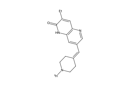 [2H]N1CCC(=Cc2cnc3cc(CC)c(=O)[nH]c3c2)CC1